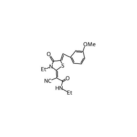 CCNC(=O)/C(C#N)=c1\s/c(=C\c2cccc(OC)c2)c(=O)n1CC